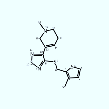 Cc1ccsc1CSc1nsnc1C1=CCCN(C)C1